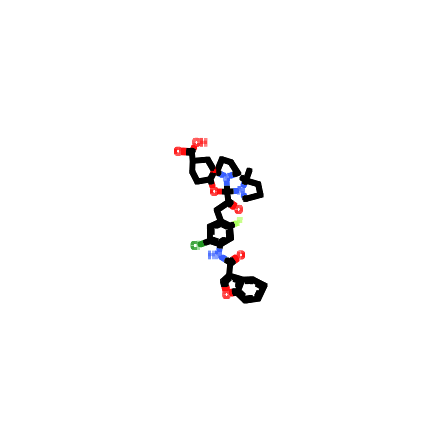 CC1(C)CCCN1C(OC1CCC(C(=O)O)CC1)(C(=O)Cc1cc(Cl)c(NC(=O)c2coc3ccccc23)cc1F)N1CCCC1